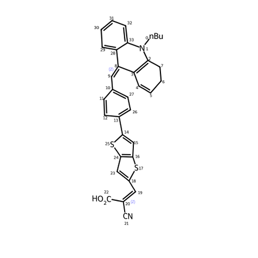 CCCCN1C2=C(C=CCC2)/C(=C\c2ccc(-c3cc4sc(/C=C(/C#N)C(=O)O)cc4s3)cc2)c2ccccc21